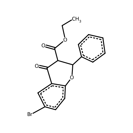 CCOC(=O)C1C(=O)c2cc(Br)ccc2OC1c1ccccc1